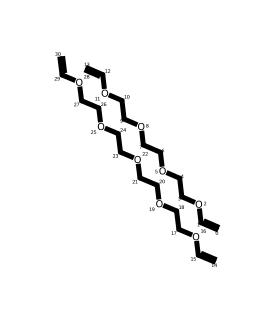 C=COCCOCCOCCOC=C.C=COCCOCCOCCOCCOC=C